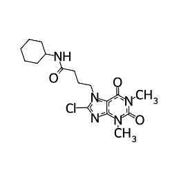 Cn1c(=O)c2c(nc(Cl)n2CCCC(=O)NC2CCCCC2)n(C)c1=O